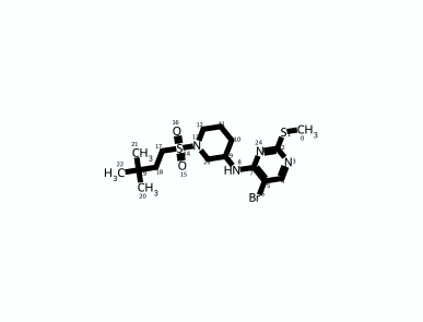 CSc1ncc(Br)c(NC2CCCN(S(=O)(=O)CCC(C)(C)C)C2)n1